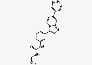 O=C(NCC(F)(F)F)Nc1cccc(-c2cnc3cc(-c4ccnnc4)ccn23)c1